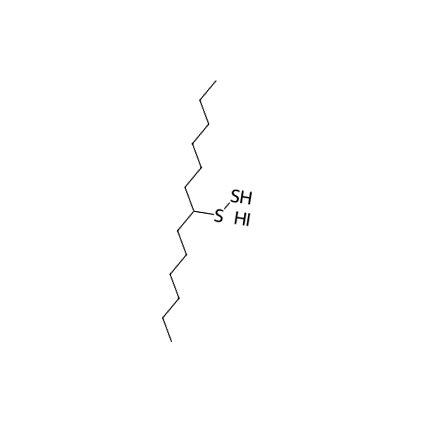 CCCCCCC(CCCCCC)SS.I